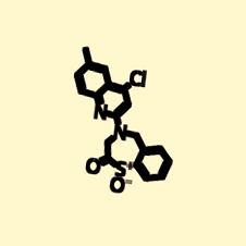 Cc1ccc2nc(N3CC(=O)[S+]([O-])c4ccccc4C3)cc(Cl)c2c1